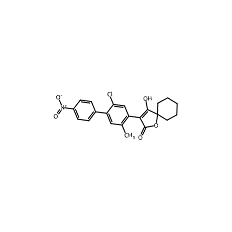 Cc1cc(-c2ccc([N+](=O)[O-])cc2)c(Cl)cc1C1=C(O)C2(CCCCC2)OC1=O